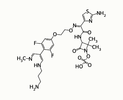 C/N=C/C(=C\NCCCN)c1c(F)cc(OCCO/N=C(\C(=O)NC2C(=O)N(OS(=O)(=O)O)C2(C)C)c2csc(N)n2)cc1F